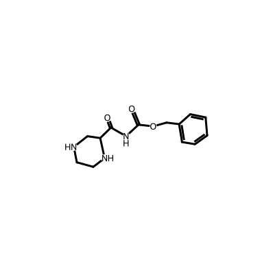 O=C(NC(=O)C1CNCCN1)OCc1ccccc1